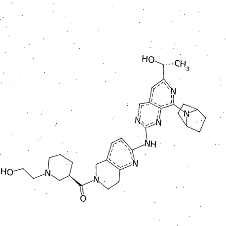 C[C@@H](O)c1cc2cnc(Nc3ccc4c(n3)CCN(C(=O)[C@@H]3CCCN(CCO)C3)C4)nc2c(N2C3CCC2CC3)n1